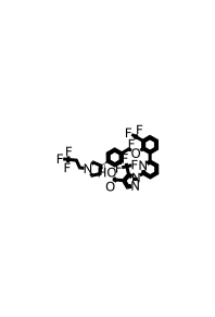 O=C(O)c1cnn(-c2cccc(-c3cccc(C(F)(F)F)c3OCc3ccc([C@@H]4CCN(CCC(F)(F)F)C4)cc3)n2)c1C(F)(F)F